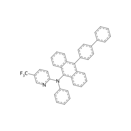 FC(F)(F)c1ccc(N(c2ccccc2)c2c3ccccc3c(-c3ccc(-c4ccccc4)cc3)c3ccccc23)nc1